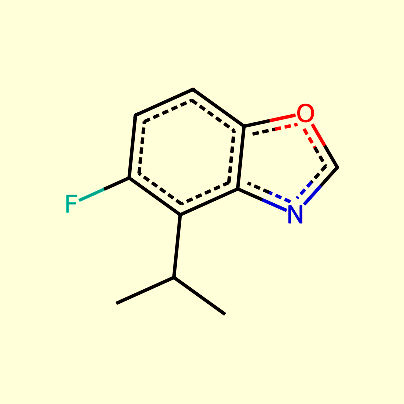 CC(C)c1c(F)ccc2ocnc12